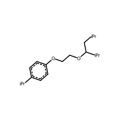 CC(C)CC(OCCOc1ccc(C(C)C)cc1)C(C)C